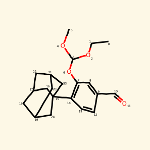 CCOC(OC)Oc1cc([C]=O)ccc1C12CC3CC(CC(C3)C1)C2